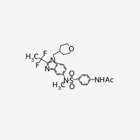 CC(=O)Nc1ccc(S(=O)(=O)N(C)c2ccc3c(c2)nc(C(C)(F)F)n3CC2CCOCC2)cc1